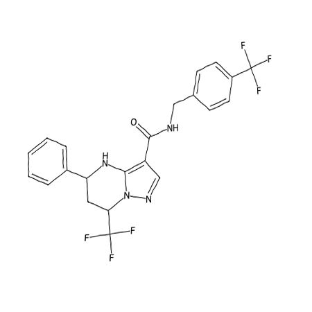 O=C(NCc1ccc(C(F)(F)F)cc1)c1cnn2c1NC(c1ccccc1)CC2C(F)(F)F